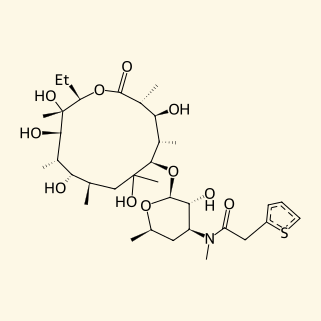 CC[C@H]1OC(=O)[C@H](C)[C@@H](O)[C@H](C)[C@@H](O[C@@H]2O[C@H](C)C[C@H](N(C)C(=O)Cc3cccs3)[C@H]2O)C(C)(O)C[C@@H](C)[C@H](O)[C@H](C)[C@@H](O)[C@]1(C)O